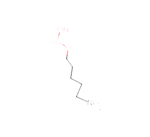 O=[N+]([O-])CCCCCOBO